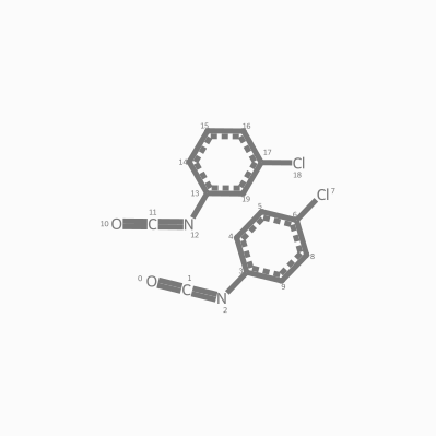 O=C=Nc1ccc(Cl)cc1.O=C=Nc1cccc(Cl)c1